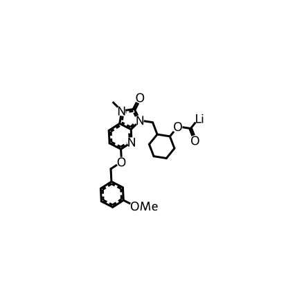 [Li][C](=O)OC1CCCCC1Cn1c(=O)n(C)c2ccc(OCc3cccc(OC)c3)nc21